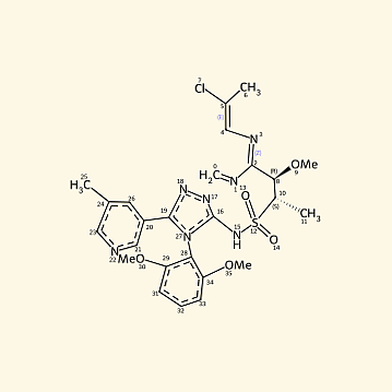 C=N/C(=N\C=C(/C)Cl)[C@@H](OC)[C@H](C)S(=O)(=O)Nc1nnc(-c2cncc(C)c2)n1-c1c(OC)cccc1OC